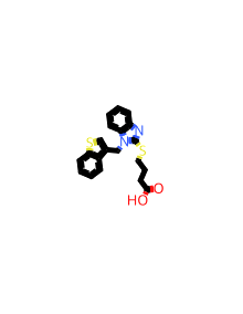 O=C(O)CCCSc1nc2ccccc2n1Cc1csc2ccccc12